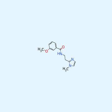 COc1cccc(C(=O)NCCc2nccn2C)c1